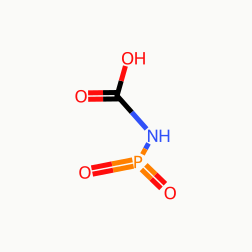 O=C(O)NP(=O)=O